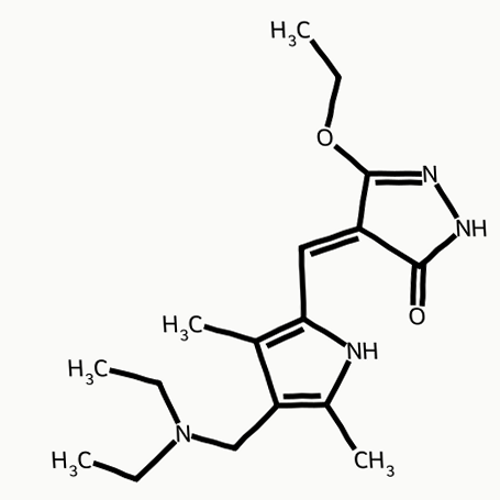 CCOC1=NNC(=O)C1=Cc1[nH]c(C)c(CN(CC)CC)c1C